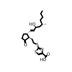 CCCC[C@H](C)C[C@H](O)C=C[C@H]1CCC(=O)[C@@H]1CCSc1nc(C(=O)O)cs1